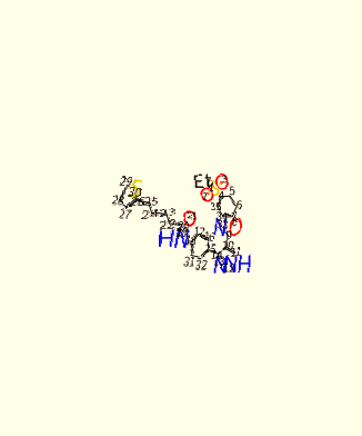 CCS(=O)(=O)c1ccc2oc(-c3c[nH]nc3-c3ccc(NC(=O)CCCCc4cccs4)cc3)nc2c1